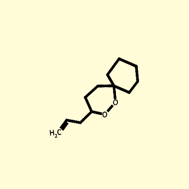 C=CCC1CCC2(CCCCC2)OO1